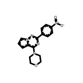 O=[N+]([O-])c1ccc(-c2nc(N3CCOCC3)c3cccn3n2)cc1